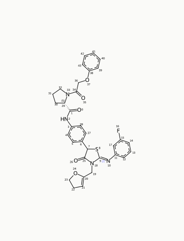 O=C(Nc1ccc(C2S/C(=N\c3cccc(F)c3)N(CC3=CCCO3)C2=O)cc1)[C@@H]1CCCN1C(=O)COc1ccccc1